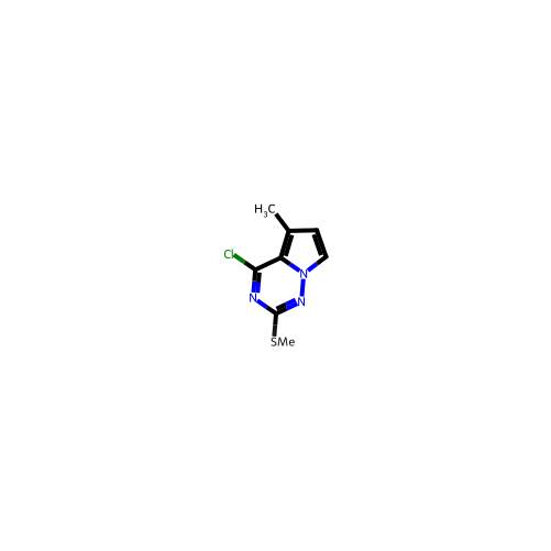 CSc1nc(Cl)c2c(C)ccn2n1